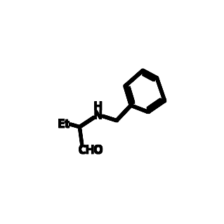 CCC(C=O)NCc1ccccc1